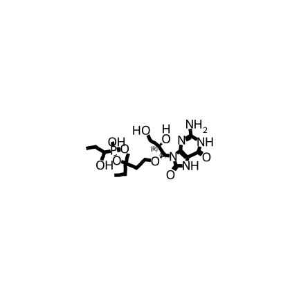 CCC(O)P(=O)(O)OC(C)(CC)CCO[C@H]([C@H](O)CO)n1c(=O)[nH]c2c(=O)[nH]c(N)nc21